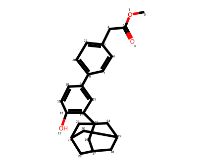 COC(=O)Cc1ccc(-c2ccc(O)c(C34CC5CC(CC(C5)C3)C4)c2)cc1